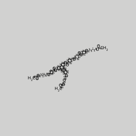 C=CC(=O)OCCCCCCOc1ccc(OC(=O)C2CCC(OCc3ccc(C(=O)Oc4ccc5c6ccc(OC(=O)c7ccc(OCCCCCCOC(=O)C=C)cc7)cc6c6nc7cc(OCCOCCOC(=O)C=C)ccc7nc6c5c4)cc3)CC2)cc1